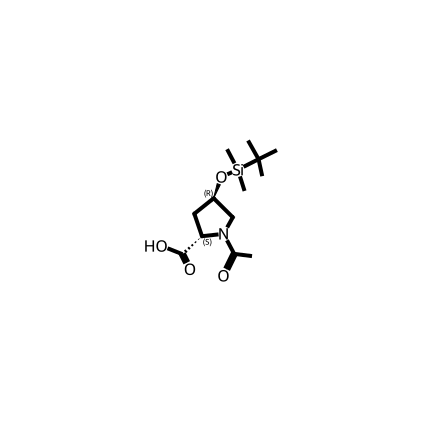 CC(=O)N1C[C@H](O[Si](C)(C)C(C)(C)C)C[C@H]1C(=O)O